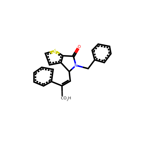 O=C(O)/C(=C/C1c2ccsc2C(=O)N1Cc1ccccc1)c1ccccc1